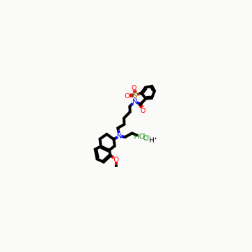 CCCN(CCCCCN1C(=O)c2ccccc2S1(=O)=O)C1CCc2cccc(OC)c2C1.Cl.[Cl-].[H+]